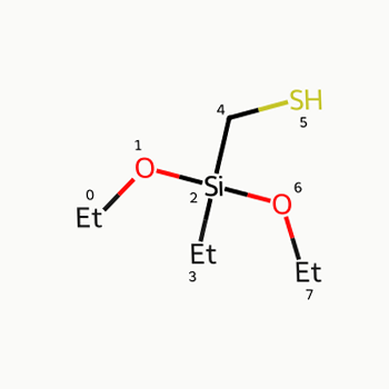 CCO[Si](CC)(CS)OCC